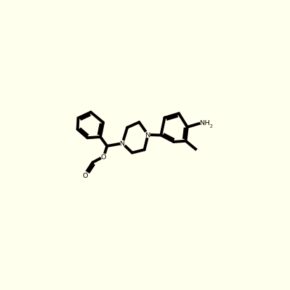 Cc1cc(N2CCN(C(OC=O)c3ccccc3)CC2)ccc1N